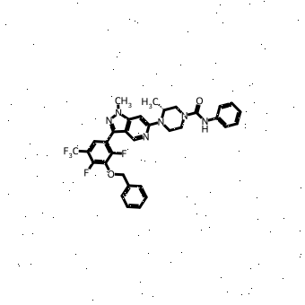 C[C@@H]1CN(C(=O)Nc2ccccc2)CCN1c1cc2c(cn1)c(-c1cc(C(F)(F)F)c(F)c(OCc3ccccc3)c1F)nn2C